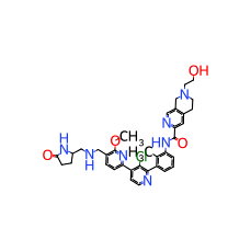 COc1nc(-c2ccnc(-c3cccc(NC(=O)c4cc5c(cn4)CN(CCO)CC5)c3C)c2Cl)ccc1CNCC1CCC(=O)N1